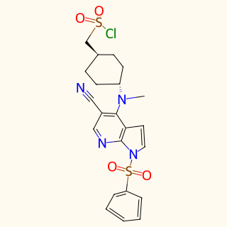 CN(c1c(C#N)cnc2c1ccn2S(=O)(=O)c1ccccc1)[C@H]1CC[C@H](CS(=O)(=O)Cl)CC1